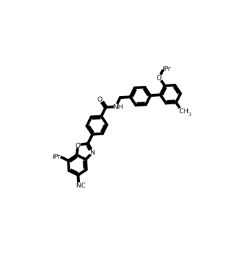 [C-]#[N+]c1cc(C(C)C)c2oc(-c3ccc(C(=O)NCc4ccc(-c5cc(C)ccc5OC(C)C)cc4)cc3)nc2c1